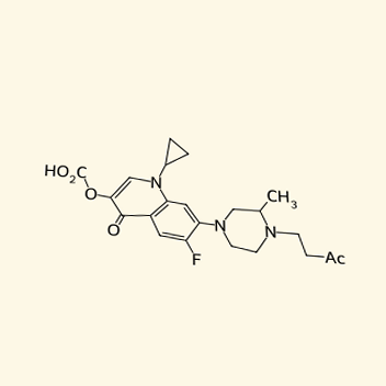 CC(=O)CCN1CCN(c2cc3c(cc2F)c(=O)c(OC(=O)O)cn3C2CC2)CC1C